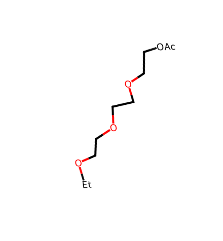 CCOCCOCCOCCOC(C)=O